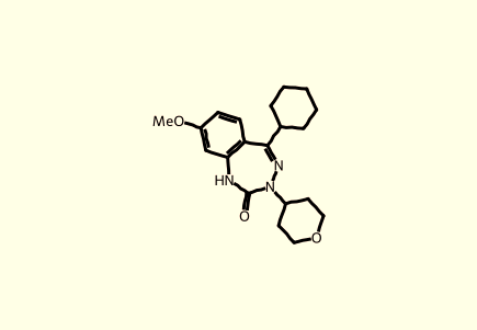 COc1ccc2c(c1)NC(=O)N(C1CCOCC1)N=C2C1CCCCC1